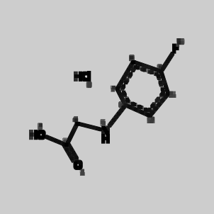 Cl.O=C(O)CNc1ccc(F)cc1